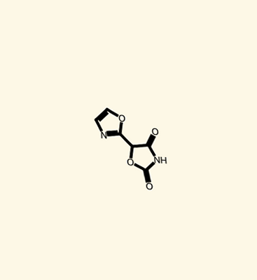 O=C1NC(=O)C(c2ncco2)O1